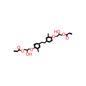 C=CC(=O)OCC(O)COc1ccc(CCc2ccc(OCC(O)COC(=O)C=C)c(C)c2)cc1C